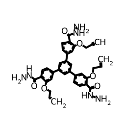 C#CCOc1cc(-c2cc(-c3ccc(C(=O)NN)c(OCC=C)c3)cc(-c3ccc(C(=O)NN)c(OCC=C)c3)c2)ccc1C(=O)NN